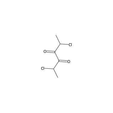 CC(Cl)C(=O)C(=O)C(C)Cl